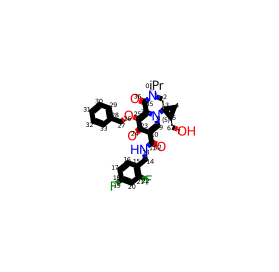 CC(C)N1C[C@@]2(C[C@@H]2CO)n2cc(C(=O)NCc3ccc(F)cc3F)c(=O)c(OCc3ccccc3)c2C1=O